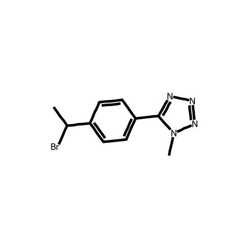 CC(Br)c1ccc(-c2nnnn2C)cc1